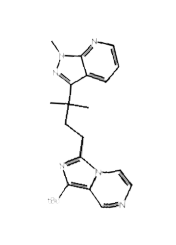 Cn1nc(C(C)(C)CCc2nc(C(C)(C)C)c3cnccn23)c2cccnc21